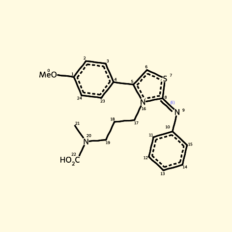 COc1ccc(-c2cs/c(=N/c3ccccc3)n2CCCN(C)C(=O)O)cc1